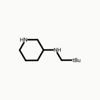 CC(C)(C)CNC1CCCNC1